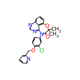 CC1(C)Oc2cccc3ncnc(c23)N(c2ccc(OCc3ccccn3)c(Cl)c2)C1=O